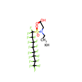 CCN(CC(=O)O)S(=O)(=O)C(F)(F)C(F)(F)C(F)(F)C(F)(F)C(F)(F)C(F)(F)C(F)(F)C(F)(F)F.[KH]